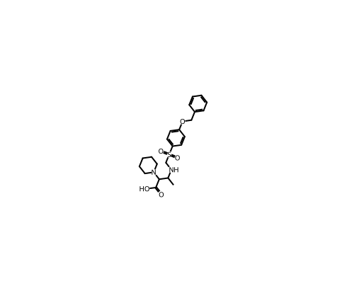 CC(NCS(=O)(=O)c1ccc(OCc2ccccc2)cc1)C(C(=O)O)N1CCCCC1